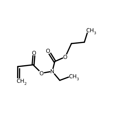 C=CC(=O)ON(CC)C(=O)OCCC